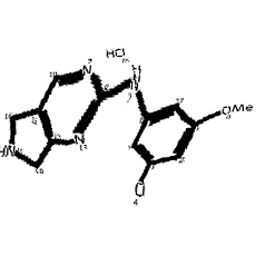 COc1cc(Cl)cc(Nc2ncc3c(n2)CNC3)c1.Cl